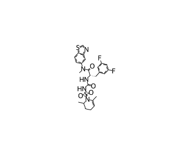 CC1=CCCC(C)N1S(=O)(=O)NC(=O)N[C@@H](Cc1cc(F)cc(F)c1)C(=O)N(C)c1ccc2scnc2c1